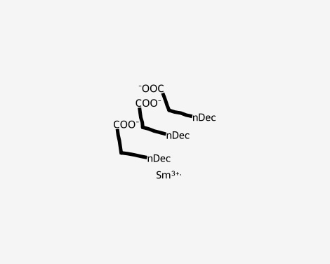 CCCCCCCCCCCC(=O)[O-].CCCCCCCCCCCC(=O)[O-].CCCCCCCCCCCC(=O)[O-].[Sm+3]